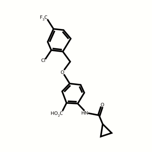 O=C(O)c1cc(OCc2ccc(C(F)(F)F)cc2Cl)ccc1NC(=O)C1CC1